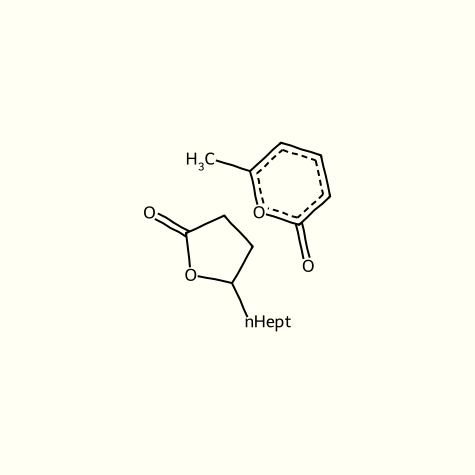 CCCCCCCC1CCC(=O)O1.Cc1cccc(=O)o1